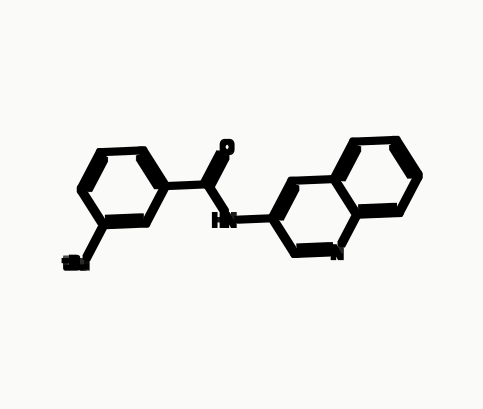 CC(C)(C)c1cccc(C(=O)Nc2cnc3ccccc3c2)c1